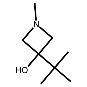 CN1CC(O)(C(C)(C)C)C1